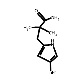 CCCc1c[nH]c(CC(C)(C)C(N)=O)c1